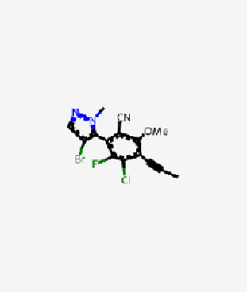 CC#Cc1c(Cl)c(F)c(-c2c(Br)cnn2C)c(C#N)c1OC